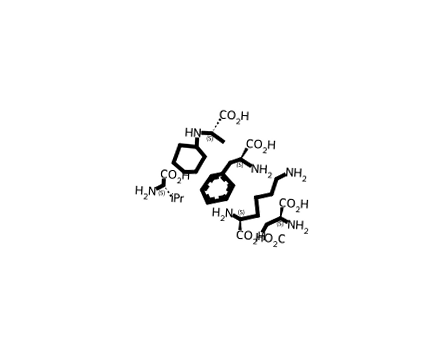 CC(C)[C@H](N)C(=O)O.C[C@H](NC1CCCCC1)C(=O)O.NCCCC[C@H](N)C(=O)O.N[C@@H](CC(=O)O)C(=O)O.N[C@@H](Cc1ccccc1)C(=O)O